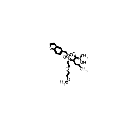 CCCC(C(=O)N(C)O)N(CCOCCOC)S(=O)(=O)Cc1ccc2sccc2c1